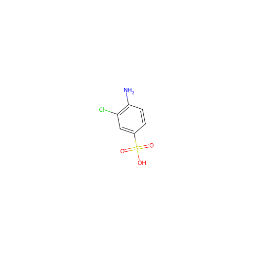 Nc1ccc(S(=O)(=O)O)cc1Cl